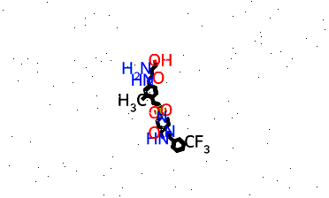 Cc1cc(NC(=O)C(N)CO)ccc1C=CS(=O)(=O)N1CCC2(CC1)N=C(c1cccc(C(F)(F)F)c1)NC2=O